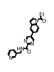 CCC(=O)n1ccc2cc(-c3cnc(C(=O)NCc4cccnc4)nc3)ccc21